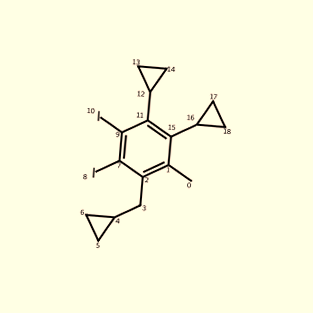 Cc1c(CC2CC2)c(I)c(I)c(C2CC2)c1C1CC1